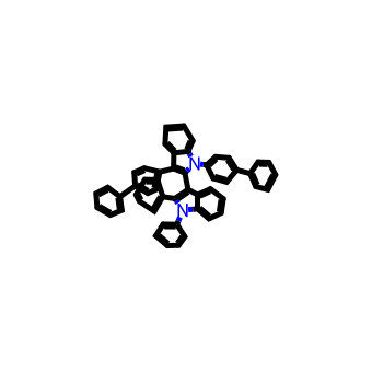 c1ccc(-c2ccc(-c3c(-c4c(-c5ccccc5)n(-c5ccccc5)c5ccccc45)n(-c4ccc(-c5ccccc5)cc4)c4ccccc34)cc2)cc1